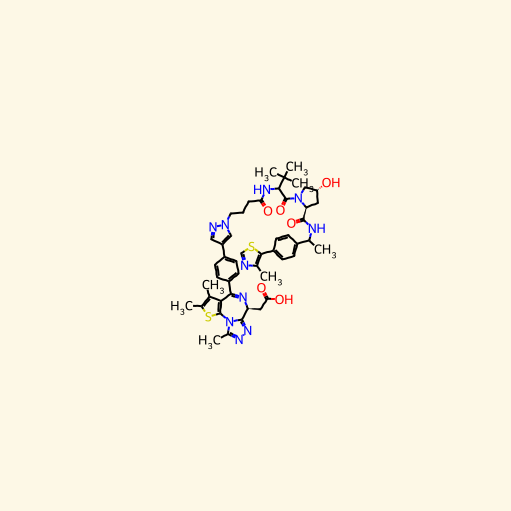 Cc1ncsc1-c1ccc(C(C)NC(=O)[C@@H]2C[C@@H](O)CN2C(=O)C(NC(=O)CCCn2cc(-c3ccc(C4=N[C@@H](CC(=O)O)c5nnc(C)n5-c5sc(C)c(C)c54)cc3)cn2)C(C)(C)C)cc1